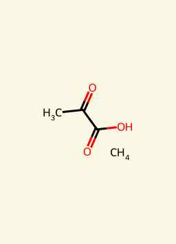 C.CC(=O)C(=O)O